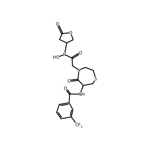 O=C1CC(N(O)C(=O)CN2CCSCC(NC(=O)c3cccc(C(F)(F)F)c3)C2=O)CO1